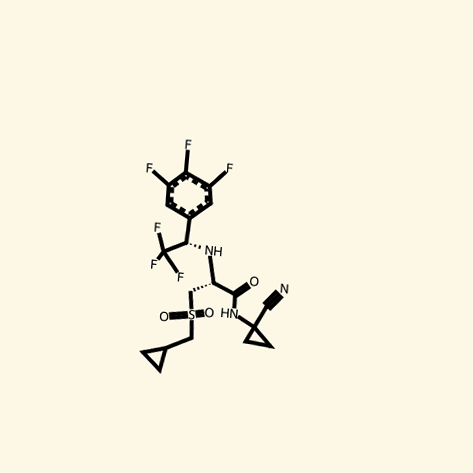 N#CC1(NC(=O)[C@H](CS(=O)(=O)CC2CC2)N[C@@H](c2cc(F)c(F)c(F)c2)C(F)(F)F)CC1